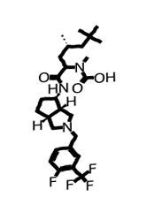 C[C@@H](CC(C(=O)N[C@@H]1CC[C@H]2CN(Cc3ccc(F)c(C(F)(F)F)c3)C[C@H]21)N(C)C(=O)O)CC(C)(C)C